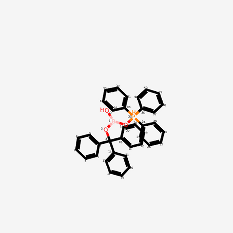 OB(OC(c1ccccc1)(c1ccccc1)c1ccccc1)O[PH](c1ccccc1)(c1ccccc1)c1ccccc1